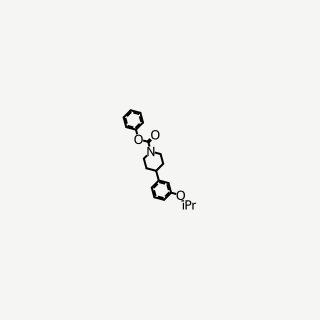 CC(C)Oc1cccc(C2CCN(C(=O)Oc3ccccc3)CC2)c1